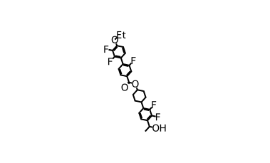 CCOc1ccc(-c2ccc(C(=O)OC3CCC(c4ccc(C(C)O)c(F)c4F)CC3)cc2F)c(F)c1F